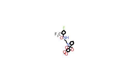 O=C(NCCCN1C(=O)C2(COc3cc4c(cc32)OCO4)c2ccccc21)c1ccc(F)cc1C(F)(F)F